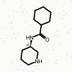 O=C(N[C@@H]1CCCNC1)C1CCCCC1